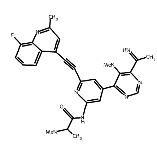 CNc1c(C(C)=N)ncnc1-c1cc(C#Cc2cc(C)nc3c(F)cccc23)nc(NC(=O)C(C)NC)c1